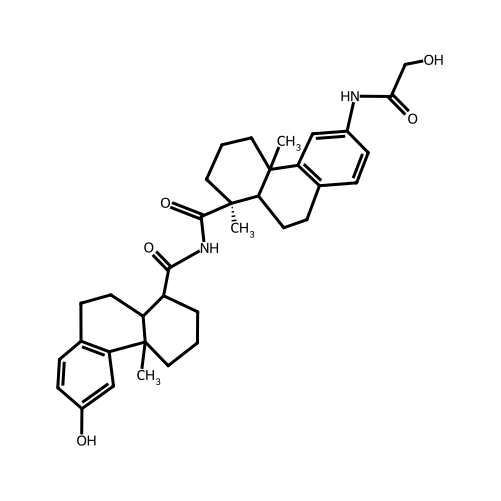 CC12CCCC(C(=O)NC(=O)[C@@]3(C)CCCC4(C)c5cc(NC(=O)CO)ccc5CCC43)C1CCc1ccc(O)cc12